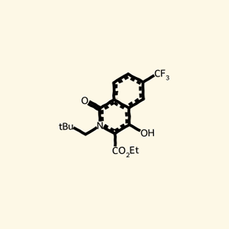 CCOC(=O)c1c(O)c2cc(C(F)(F)F)ccc2c(=O)n1CC(C)(C)C